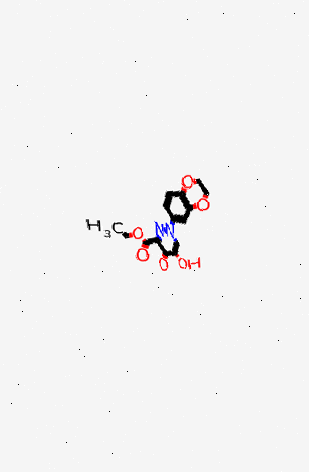 CCOC(=O)c1nn(-c2ccc3c(c2)OCCO3)cc(O)c1=O